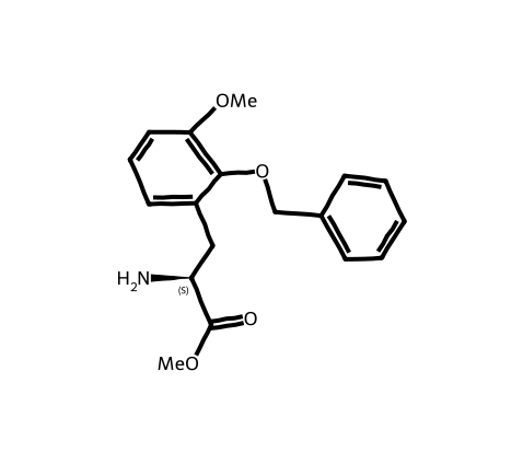 COC(=O)[C@@H](N)Cc1cccc(OC)c1OCc1ccccc1